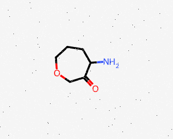 NC1CCCOCC1=O